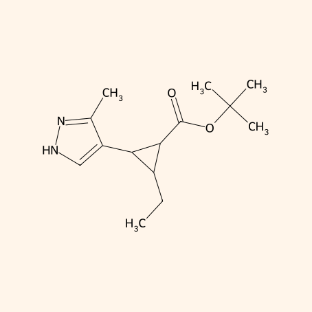 CCC1C(C(=O)OC(C)(C)C)C1c1c[nH]nc1C